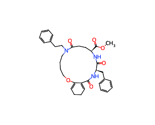 COC(=O)[C@@H]1CCC(=O)N(CCc2ccccc2)CCCCOC2=CCCC=C2C(=O)N[C@H](Cc2ccccc2)C(=O)N1